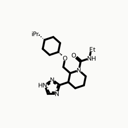 CCNC(=O)N1CCCC(c2nc[nH]n2)C1CO[C@H]1CC[C@@H](C(C)C)CC1